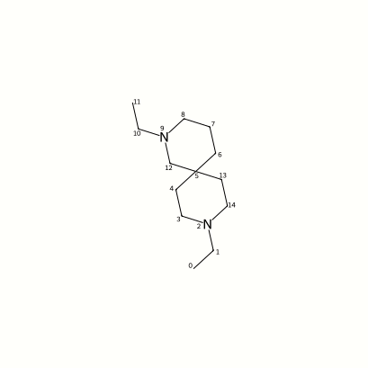 CCN1CCC2(CCCN(CC)C2)CC1